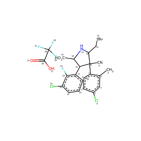 Cc1cc(Cl)ccc1C1(C#N)C(CC(C)(C)C)NC(C(=O)O)C1c1cccc(Cl)c1F.O=C(O)C(F)(F)F